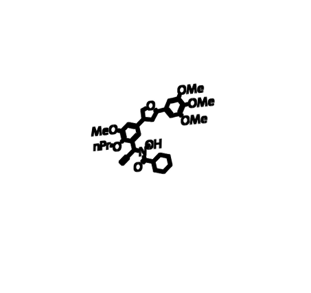 C#CC(c1cc(C2COC(c3cc(OC)c(OC)c(OC)c3)C2)cc(OC)c1OCCC)N(O)C(=O)C1CCCCC1